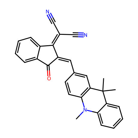 CN1c2ccccc2C(C)(C)c2cc(/C=C3\C(=O)c4ccccc4C3=C(C#N)C#N)ccc21